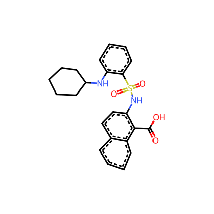 O=C(O)c1c(NS(=O)(=O)c2ccccc2NC2CCCCC2)ccc2ccccc12